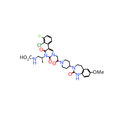 COc1ccc2c(c1)CCN(C1CCN(C(=O)Cn3cc(-c4cccc(F)c4Cl)c(=O)n([C@@H](C)CNC(=O)O)c3=O)CC1)C(=O)N2